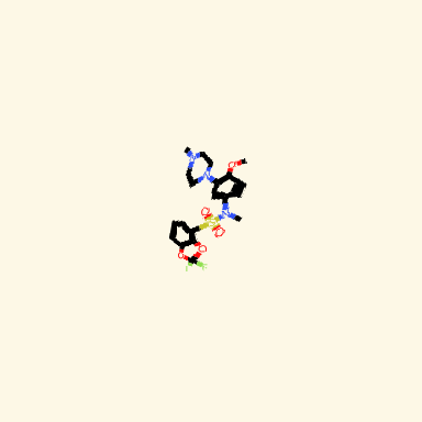 COc1ccc(N(C)S(=O)(=O)c2cccc3c2OC(F)(F)O3)cc1N1CCN(C)CC1